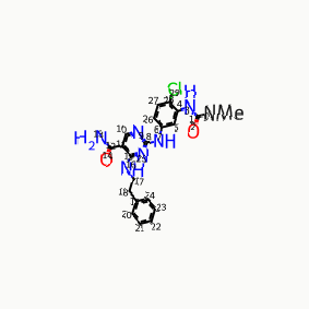 CNC(=O)Nc1cc(Nc2ncc(C(N)=O)c(NCCc3ccccc3)n2)ccc1Cl